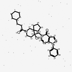 O=C(CCC1CCCCC1)N1CCC(O)(Cn2cnc3c(cnn3-c3ccccc3)c2=O)C2(CCCC2)C1